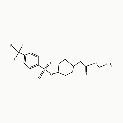 CCOC(=O)CC1CCC(OS(=O)(=O)c2ccc(C(F)(F)F)cc2)CC1